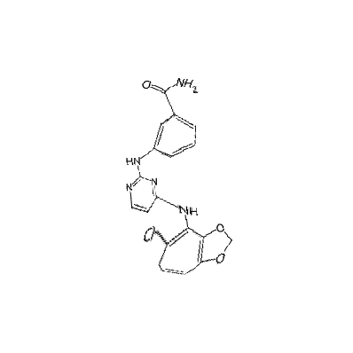 NC(=O)c1cccc(Nc2nccc(Nc3c(Cl)ccc4c3OCO4)n2)c1